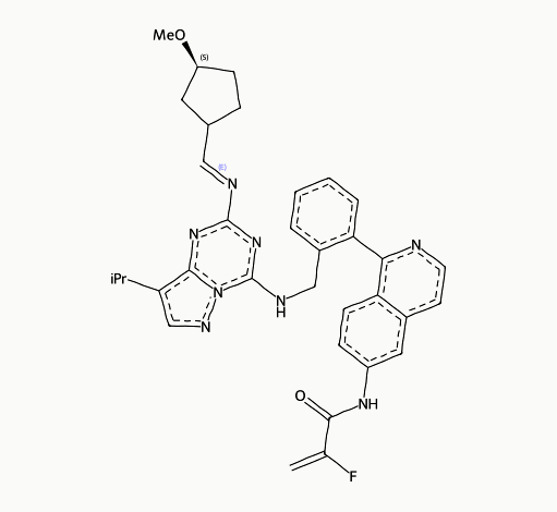 C=C(F)C(=O)Nc1ccc2c(-c3ccccc3CNc3nc(/N=C/C4CC[C@H](OC)C4)nc4c(C(C)C)cnn34)nccc2c1